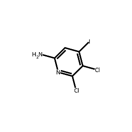 Nc1cc(I)c(Cl)c(Cl)n1